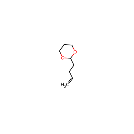 C=CCCC1OCCCO1